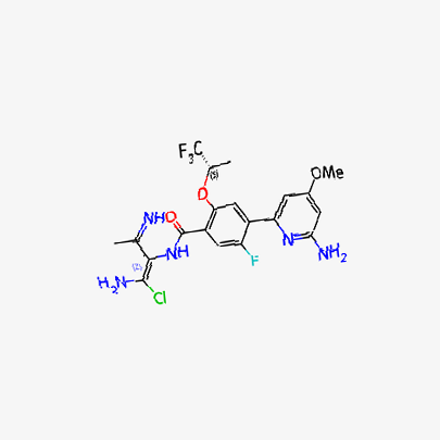 COc1cc(N)nc(-c2cc(O[C@@H](C)C(F)(F)F)c(C(=O)N/C(C(C)=N)=C(/N)Cl)cc2F)c1